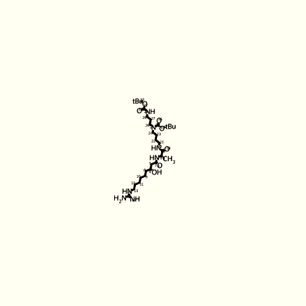 C[C@H](NC(=O)CC(O)CCCCCCNC(=N)N)C(=O)NCCCCN(CCCNC(=O)OC(C)(C)C)C(=O)OC(C)(C)C